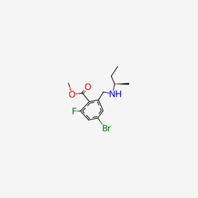 CC[C@@H](C)NCc1cc(Br)cc(F)c1C(=O)OC